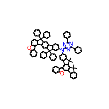 CC1(C)c2ccccc2-c2c1c1c(c3c2oc2ccccc23)-c2ccc(N(c3ccc4c(c3)C(c3ccccc3)(c3ccccc3)c3cc5c(cc3-4)C(c3ccccc3)(c3ccccc3)c3ccc4oc6ccccc6c4c3-5)c3nc(-c4ccccc4)nc(-c4ccccc4)n3)cc2C1(C)C